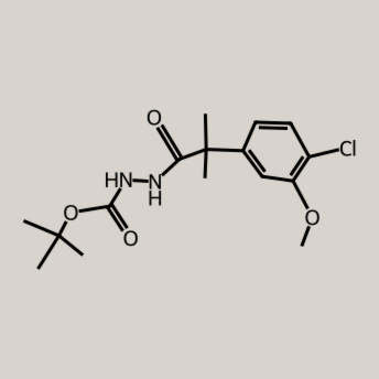 COc1cc(C(C)(C)C(=O)NNC(=O)OC(C)(C)C)ccc1Cl